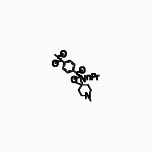 CCCN(C1(C)CCN(C)CC1)S(=O)(=O)c1ccc(S(C)(=O)=O)cc1